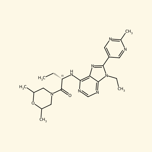 CC[C@H](Nc1ncnc2c1nc(-c1cnc(C)nc1)n2CC)C(=O)N1CC(C)OC(C)C1